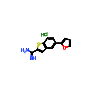 Cl.N=C(N)c1cc2cc(-c3ccco3)ccc2s1